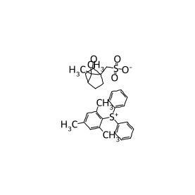 CC1(C)C2CCC1(CS(=O)(=O)[O-])C(=O)C2.Cc1cc(C)c([S+](c2ccccc2)c2ccccc2)c(C)c1